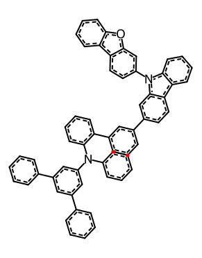 c1ccc(-c2cc(-c3ccccc3)cc(N(c3ccccc3)c3ccccc3-c3cccc(-c4ccc5c6ccccc6n(-c6ccc7c(c6)oc6ccccc67)c5c4)c3)c2)cc1